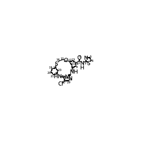 O=C(Nc1nccs1)c1cc2cc(c1)OCCSc1cccc(c1)Nc1nc(ncc1Cl)N2